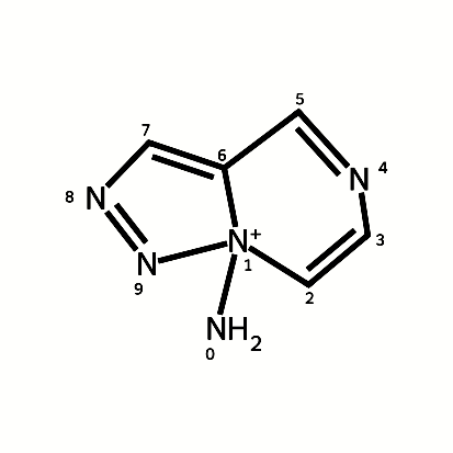 N[N+]12C=CN=CC1=CN=N2